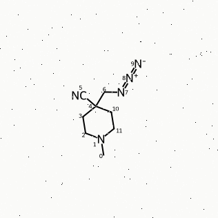 CN1CCC(C#N)(CN=[N+]=[N-])CC1